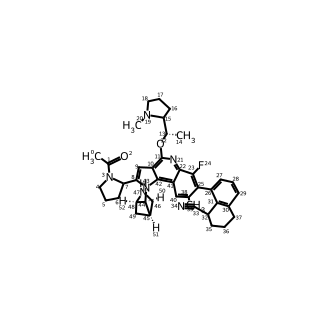 CC(=O)N1CCCC1c1cc2c(O[C@@H](C)C3CCCN3C)nc3c(F)c(-c4cccc5c4C(C#N)CCC5)c(C)cc3c2n1[C@H]1[C@H]2CN[C@@H]1C2